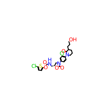 O=C(NC[C@H]1CN(c2ccc(N3CCCC(CCCO)C3=O)c(Cl)c2)C(=O)O1)Oc1ccc(Cl)s1